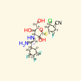 N#Cc1cc(F)c(SC2OC(CO)C(O)C(N/C=C(\N)c3cc(F)c(F)c(F)c3)C2O)cc1Cl